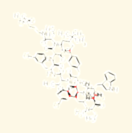 CC[C@H](NC(=O)[C@H](Cc1ccc(Cl)cc1)N(C)C(=O)[C@H](Cc1cccc(Cl)c1)NC(=O)[C@H](Cc1c[nH]c2ccccc12)NNC(=O)[C@H](CO)N(C)C(Cc1cccc(Cl)c1)NC(C)=O)C(=O)N[C@@H](Cc1cccc(Cl)c1)C(=O)NC(C(=O)N[C@@H](CO)C(=O)NCCCS(C)(=O)=O)C(=O)N1CCC(C(C)(C)C)CC1